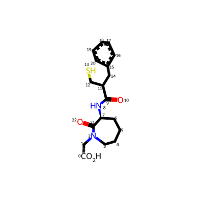 O=C(O)CN1CCCC[C@H](NC(=O)C(CS)Cc2ccccc2)C1=O